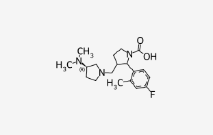 Cc1cc(F)ccc1C1C(CN2CC[C@@H](N(C)C)C2)CCN1C(=O)O